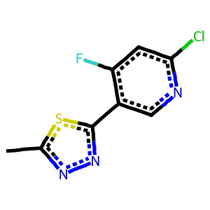 Cc1nnc(-c2cnc(Cl)cc2F)s1